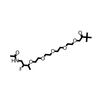 CC(=O)NCC(F)C(C)OCCOCCOCCOCCOCC(=O)C(C)(C)C